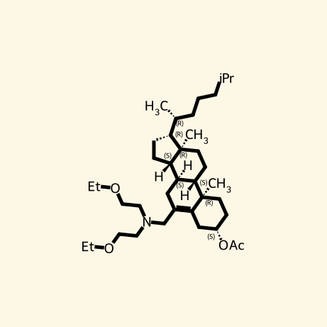 CCOCCN(CCOCC)CC1=C2C[C@@H](OC(C)=O)CC[C@]2(C)[C@H]2CC[C@]3(C)[C@@H]([C@H](C)CCCC(C)C)CC[C@H]3[C@@H]2C1